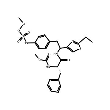 CCc1nc(C(Cc2ccc(NS(=O)(=O)OOC)cc2)NC(=O)[C@H](Cc2ccccc2)NC(=O)OC)cs1